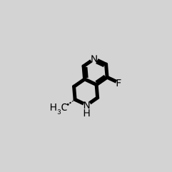 C[C@@H]1Cc2cncc(F)c2CN1